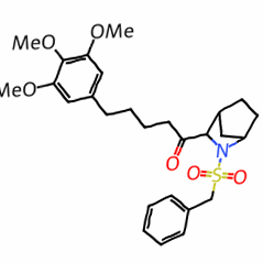 COc1cc(CCCCC(=O)C2C3CCC(C3)N2S(=O)(=O)Cc2ccccc2)cc(OC)c1OC